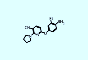 Bc1ccc(Oc2ccc([N+]#[C-])c(N3CCCC3)n2)cc1CC